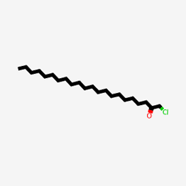 CCCCCCCCCCCCCCCCCCCCC(=O)CCl